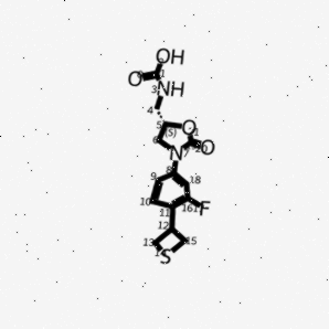 O=C(O)NC[C@H]1CN(c2ccc(C3CSC3)c(F)c2)C(=O)O1